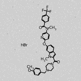 Br.COc1ccc(CN2CCN(C(=O)c3cc4ccc(Oc5ccc(N(C)C(=O)c6ccc(C(F)(F)F)cc6)cn5)cc4n3C)CC2)cc1